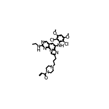 C=CC(=O)N1CCN(CCCc2cn3c(n2)c(Nc2c(Cl)c(OC)cc(OC)c2Cl)cc2cnc(NCC)nc23)CC1